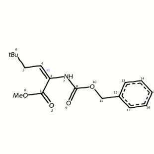 COC(=O)/C(=C\CC(C)(C)C)NC(=O)OCc1ccccc1